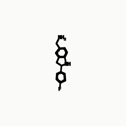 NCc1ccc2c(c1)CC(c1ccc(F)cc1)N2